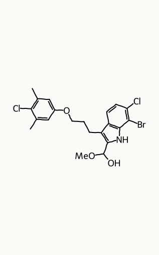 COC(O)c1[nH]c2c(Br)c(Cl)ccc2c1CCCOc1cc(C)c(Cl)c(C)c1